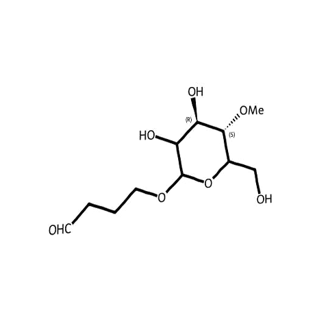 CO[C@@H]1C(CO)OC(OCCCC=O)C(O)[C@H]1O